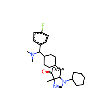 COC(=O)C1(C)N=CN(C2CCCCC2)C1CC1CCC(C(c2ccc(F)cc2)N(C)C)CC1